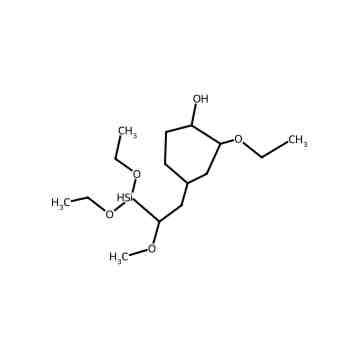 CCOC1CC(CC(OC)[SiH](OCC)OCC)CCC1O